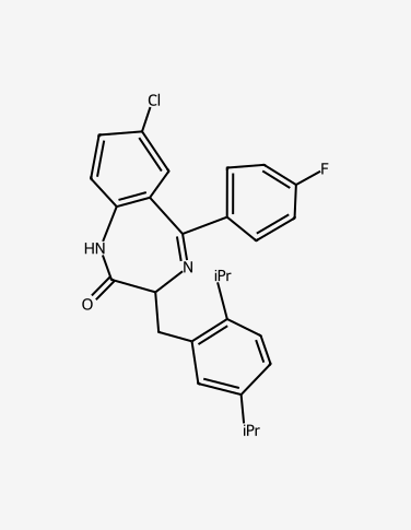 CC(C)c1ccc(C(C)C)c(CC2N=C(c3ccc(F)cc3)c3cc(Cl)ccc3NC2=O)c1